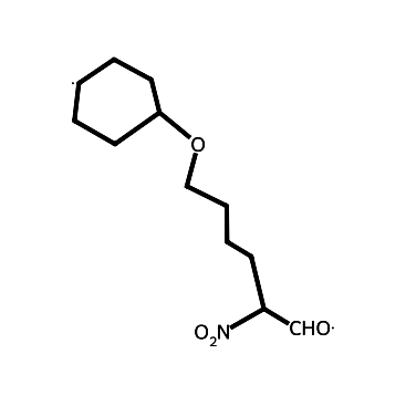 O=[C]C(CCCCOC1CC[CH]CC1)[N+](=O)[O-]